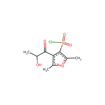 Cc1oc(C)c(S(=O)(=O)Cl)c1C(=O)C(C)O